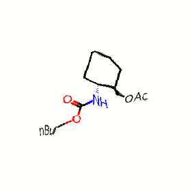 CCCCOC(=O)N[C@@H]1CCCCC1OC(C)=O